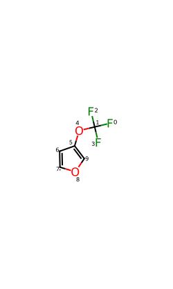 FC(F)(F)Oc1c[c]oc1